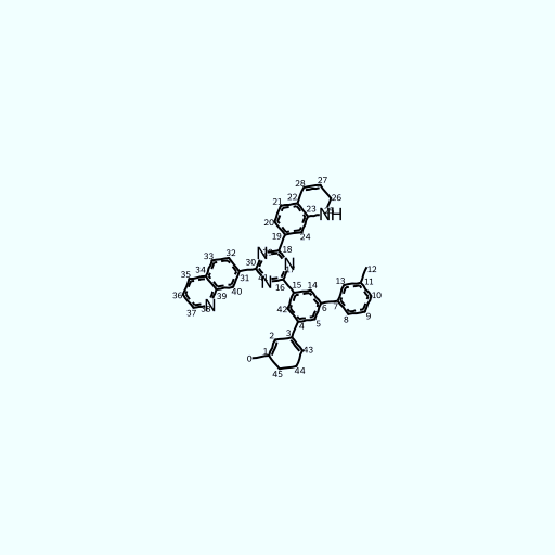 CC1=CC(c2cc(-c3cccc(C)c3)cc(-c3nc(-c4ccc5c(c4)NCC=C5)nc(-c4ccc5cccnc5c4)n3)c2)=CCC1